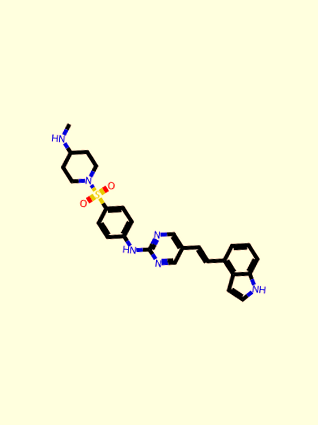 CNC1CCN(S(=O)(=O)c2ccc(Nc3ncc(/C=C/c4cccc5[nH]ccc45)cn3)cc2)CC1